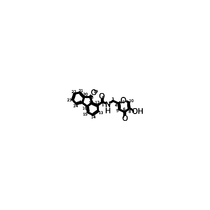 O=C(NCc1cc(=O)c(O)co1)c1cccc2c1C(=O)c1ccccc1-2